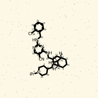 CC(C)N1CCC(CN[C@@H]2[C@@H]3CCC[C@H]2CC(CNc2nc(NCc4ccccc4Cl)ncc2C#N)C3)CC1